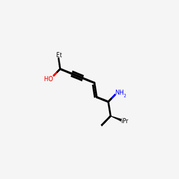 CCC(O)C#C/C=C/C(N)[C@H](C)C(C)C